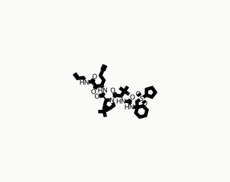 C#CCCC(NC(=O)[C@@H]1C2C(CN1C(=O)[C@@H](NC(=O)NC1(CS(=O)(=O)C3CCCC3)CCCCC1)C(C)(C)C)C2(C)C)C(=O)C(=O)NCC=C